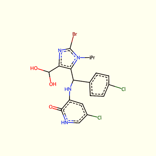 CC(C)n1c(Br)nc(C(O)O)c1C(Nc1cc(Cl)c[nH]c1=O)c1ccc(Cl)cc1